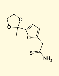 CC1(c2ccc(CC(N)=S)o2)OCCO1